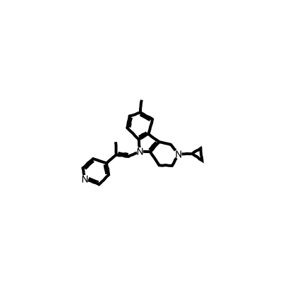 CC(=Cn1c2c(c3cc(C)ccc31)CN(C1CC1)CC2)c1ccncc1